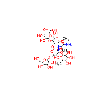 CO[C@H]1OC(CO)[C@H](O[C@H]2OC(CO)[C@@H](O)[C@H](O)C2O)[C@H](O[C@@H]2OC(CO[C@H]3OC(CO)[C@@H](O)[C@H](O)C3O)[C@@H](O)[C@H](O[C@@H]3OC(C)[C@H](O)[C@H](O)C3O)C2O)C1NC(C)C(N)=O